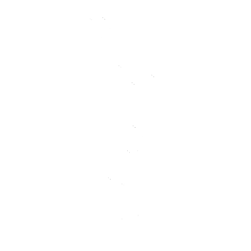 CC(C)(C)OC(=O)n1cc(NC(=O)c2cc3ccc(-c4nccc(Nc5ccc6[nH]ncc6c5)n4)cc3[nH]2)cn1